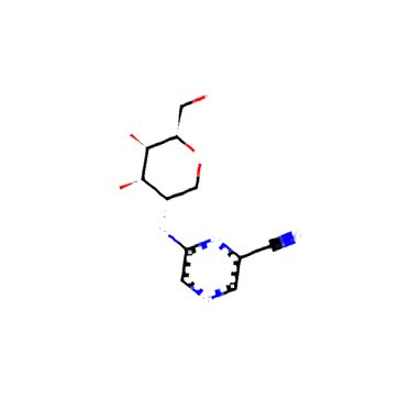 N#Cc1cncc(N[C@H]2CO[C@H](CO)[C@H](O)[C@@H]2O)n1